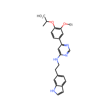 CCOc1cc(-c2cc(NCCc3ccc4cc[nH]c4c3)ncn2)ccc1OC(C)C(=O)O